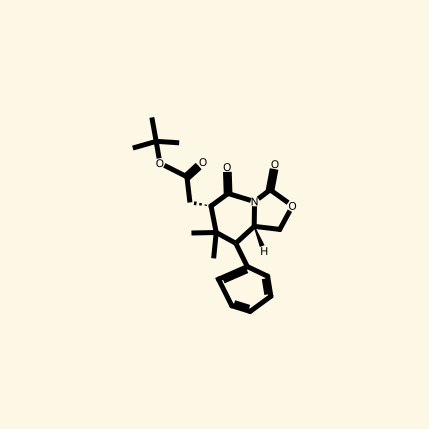 CC(C)(C)OC(=O)C[C@@H]1C(=O)N2C(=O)OC[C@@H]2C(c2ccccc2)C1(C)C